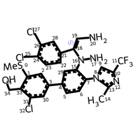 CSc1cc(-c2ccc(-n3cc(C(F)(F)F)nc3C)c(N(N)/C(=C\N)c3ccc(Cl)c(Cl)c3)c2)cc(Cl)c1CO